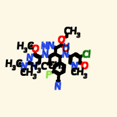 CCOC(=O)C(=N)/C(=C(\Nc1cnc(N(C)C)nc1OC)C(C)C)C(Nc1cc(Cl)c(=O)n(C)c1)c1ccc(C#N)c(F)c1